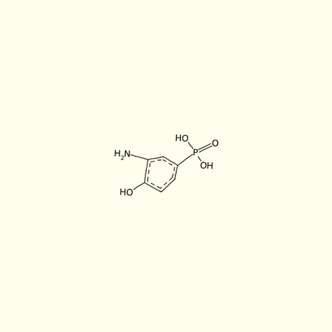 Nc1cc(P(=O)(O)O)ccc1O